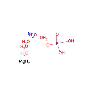 N.O.O.O.O.O.O=P(O)(O)O.[MgH2]